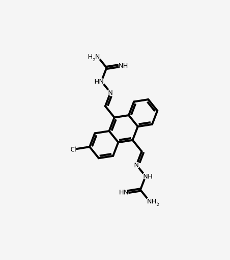 N=C(N)NN=Cc1c2ccccc2c(C=NNC(=N)N)c2cc(Cl)ccc12